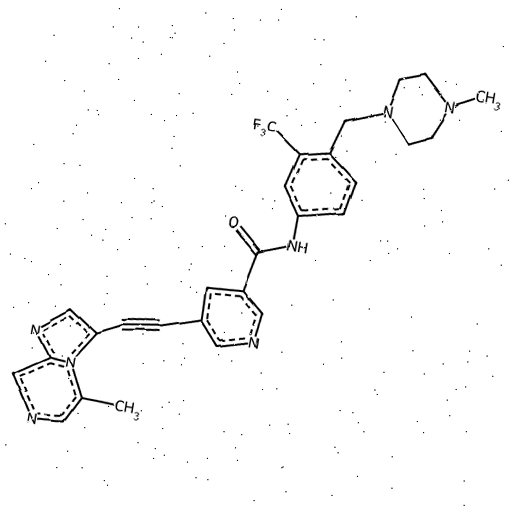 Cc1cncc2ncc(C#Cc3cncc(C(=O)Nc4ccc(CN5CCN(C)CC5)c(C(F)(F)F)c4)c3)n12